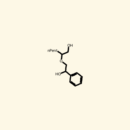 CCCCCC(CO)OCC(O)c1ccccc1